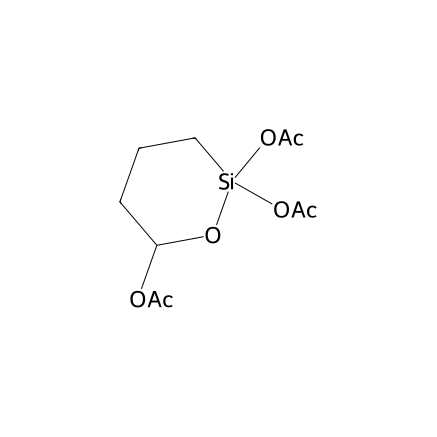 CC(=O)OC1CCC[Si](OC(C)=O)(OC(C)=O)O1